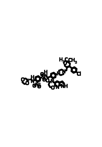 CC1(C)CC(c2ccc(Cl)cc2)=C(CN2CCN(c3ccc(C(=O)NS(=O)(=O)c4ccc(NC[C@H]5COCCO5)c([N+](=O)[O-])c4)c(N4CCCOc5nc6[nH]ccc6cc54)c3)CC2)CO1